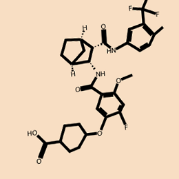 COc1cc(F)c(OC2CCC(C(=O)O)CC2)cc1C(=O)N[C@@H]1[C@H]2CC[C@H](C2)[C@@H]1C(=O)Nc1ccc(C)c(C(F)(F)F)c1